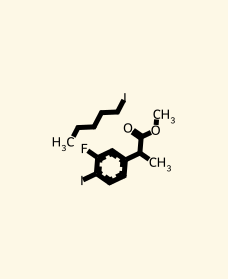 CCCCCI.COC(=O)C(C)c1ccc(I)c(F)c1